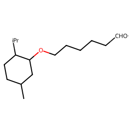 CC1CCC(C(C)C)C(OCCCCC[C]=O)C1